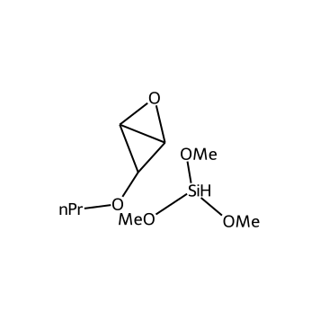 CCCOC1C2OC12.CO[SiH](OC)OC